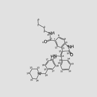 CCCCNC(=O)c1ccc2c(c1)C(=C(Nc1ccc(CN3CCCCC3)cc1)c1ccccc1)C(=O)N2